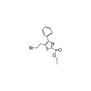 CCOC(=O)c1nc(-c2ccccc2)c(CCBr)s1